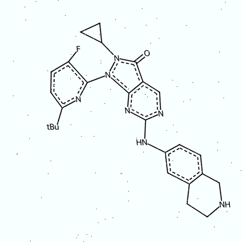 CC(C)(C)c1ccc(F)c(-n2c3nc(Nc4ccc5c(c4)CCNC5)ncc3c(=O)n2C2CC2)n1